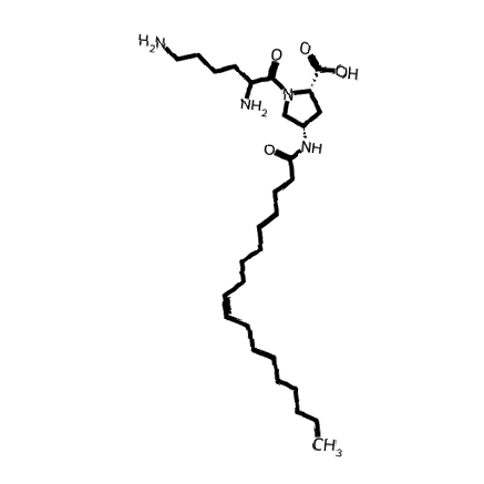 CCCCCCCC/C=C\CCCCCCCC(=O)N[C@H]1C[C@@H](C(=O)O)N(C(=O)C(N)CCCCN)C1